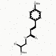 CCCCCCC(CC)COC(=O)/C=C/c1ccc(OC)cc1